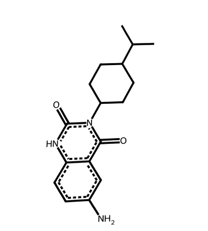 CC(C)C1CCC(n2c(=O)[nH]c3ccc(N)cc3c2=O)CC1